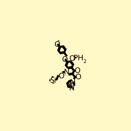 COc1ccc(COc2cc3c(cc2OP)c(=O)c(C(=O)N2CCN4CCC2CC4)cn3COCC[Si](C)(C)C)cc1